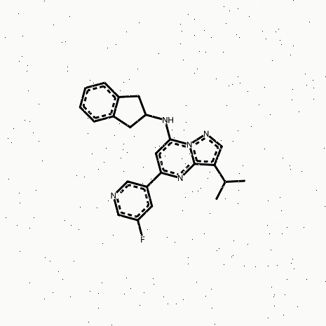 CC(C)c1cnn2c(NC3Cc4ccccc4C3)cc(-c3cncc(F)c3)nc12